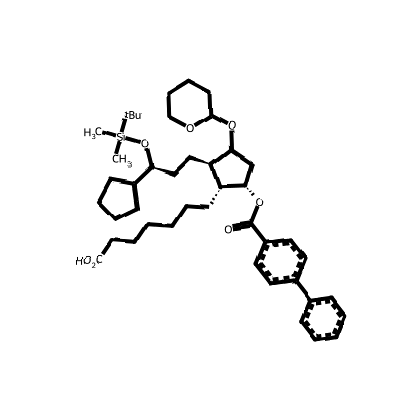 CC(C)(C)[Si](C)(C)O[C@@H](CC[C@H]1C(OC2CCCCO2)C[C@H](OC(=O)c2ccc(-c3ccccc3)cc2)[C@@H]1CCCCCCC(=O)O)C1CCCC1